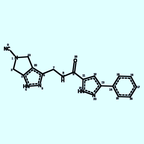 N#CN1Cc2[nH]nc(CNC(=O)c3cc(-c4ccccc4)n[nH]3)c2C1